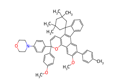 COc1ccc(C2(c3ccc(N4CCOCC4)cc3)C=Cc3c4c(c5cc(-c6ccc(C)cc6)c(OC)cc5c3O2)-c2ccccc2C42CC(C)(C)CC(C)(C)C2)cc1